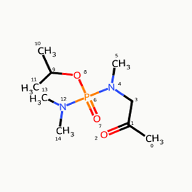 CC(=O)CN(C)P(=O)(OC(C)C)N(C)C